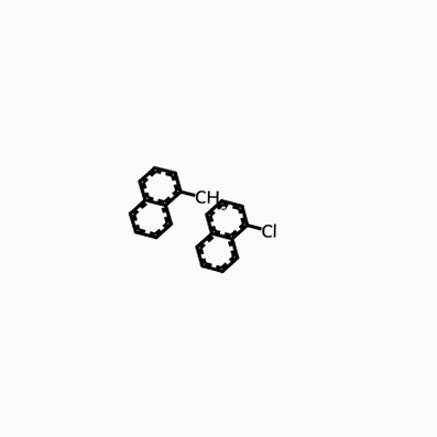 Cc1cccc2ccccc12.Clc1cccc2ccccc12